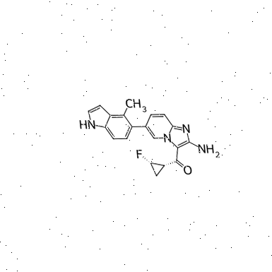 Cc1c(-c2ccc3nc(N)c(C(=O)[C@@H]4C[C@@H]4F)n3c2)ccc2[nH]ccc12